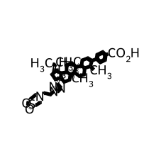 C=C(C)[C@@H]1CC[C@]2(c3ncn(CCN4CCS(=O)(=O)CC4)n3)CC[C@]3(C)C(CCC4[C@@]5(C)CC=C(c6ccc(C(=O)O)cc6)C(C)C5CC[C@]43C)C12